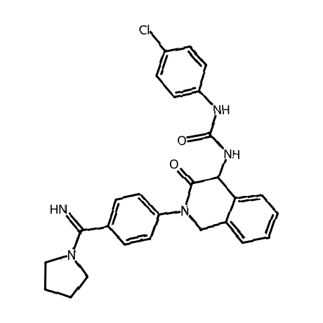 N=C(c1ccc(N2Cc3ccccc3C(NC(=O)Nc3ccc(Cl)cc3)C2=O)cc1)N1CCCC1